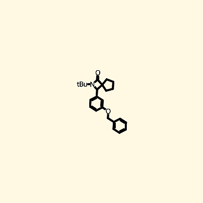 CC(C)(C)N1C(=O)C2(CCCC2)C1c1cccc(OCc2ccccc2)c1